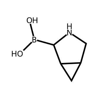 OB(O)C1NCC2CC21